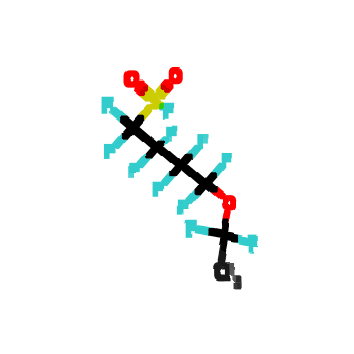 O=S(=O)(F)C(F)(F)C(F)(F)C(F)(F)C(F)(F)OC(F)(F)C(F)(F)F